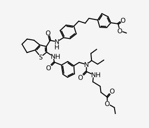 CCOC(=O)CCCNC(=O)N(Cc1cccc(C(=O)Nc2sc3c(c2C(=O)Nc2ccc(CCCc4ccc(C(=O)OC)cc4)cc2)CCCC3)c1)C(CC)CC